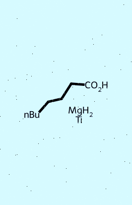 CCCCCCCC(=O)O.[MgH2].[Ti]